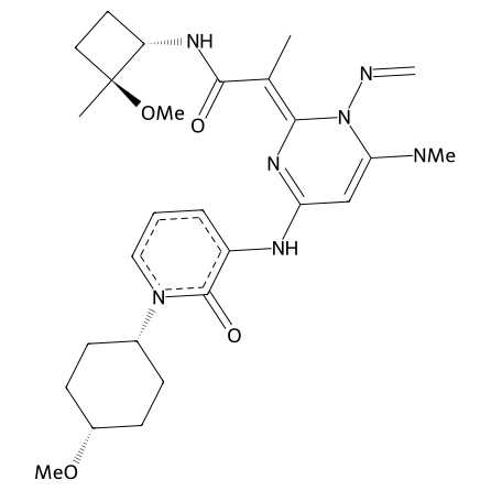 C=NN1C(NC)=CC(Nc2cccn([C@H]3CC[C@@H](OC)CC3)c2=O)=N/C1=C(/C)C(=O)N[C@H]1CC[C@]1(C)OC